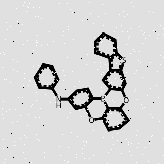 c1ccc(Nc2ccc3c(c2)Oc2cccc4c2B3c2cc3c(cc2O4)sc2ccccc23)cc1